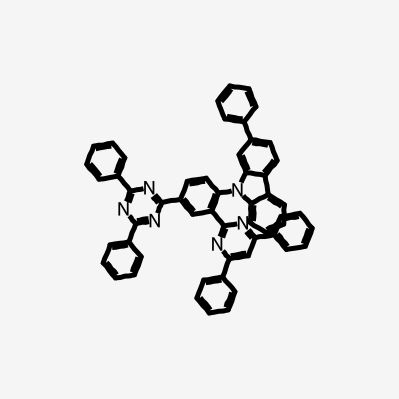 c1ccc(-c2ccc3c4ccccc4n(-c4ccc(-c5nc(-c6ccccc6)nc(-c6ccccc6)n5)cc4-c4nc(-c5ccccc5)cc(-c5ccccc5)n4)c3c2)cc1